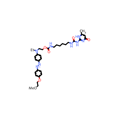 CCN(CCOC(=O)NCCCCCCNC(=O)Nc1nc(=O)cc(C)[nH]1)c1ccc(/N=N/c2ccc(OCCOC)cc2)cc1